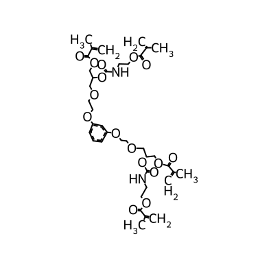 C=C(C)C(=O)OCCNC(=O)OC(COCCOc1cccc(OCCOCC(COC(=O)C(=C)C)OC(=O)NCCOC(=O)C(=C)C)c1)COC(=O)C(=C)C